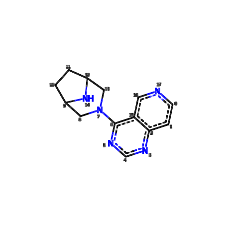 c1cc2ncnc(N3CC4CCC(C3)N4)c2cn1